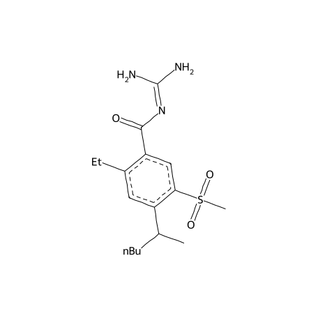 CCCCC(C)c1cc(CC)c(C(=O)N=C(N)N)cc1S(C)(=O)=O